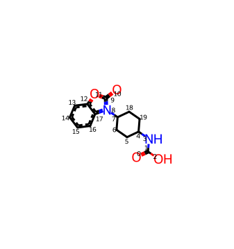 O=C(O)NC1CCC(n2c(=O)oc3ccccc32)CC1